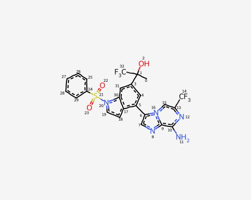 CC(O)(c1cc(-c2cnc3c(N)nc(C(F)(F)F)cn23)c2ccn(S(=O)(=O)c3ccccc3)c2c1)C(F)(F)F